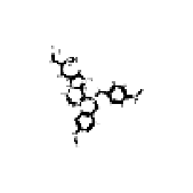 COc1ccc(CN(Cc2ccc(OC)cc2)c2ncnn3c(CC(O)CO)cnc23)cc1